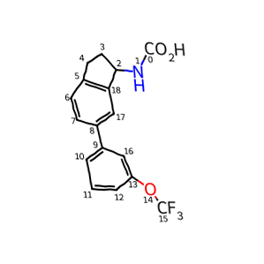 O=C(O)NC1CCc2ccc(-c3cccc(OC(F)(F)F)c3)cc21